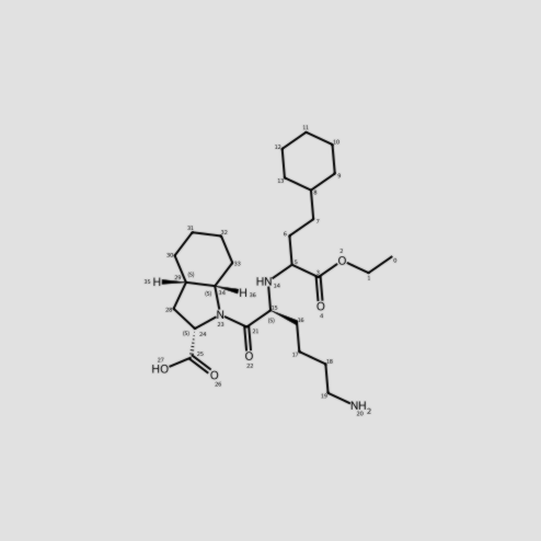 CCOC(=O)C(CCC1CCCCC1)N[C@@H](CCCCN)C(=O)N1[C@H](C(=O)O)C[C@@H]2CCCC[C@@H]21